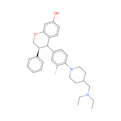 CCN(CC)CC1CCN(c2ccc(C3c4ccc(O)cc4OC[C@@H]3c3ccccc3)cc2F)CC1